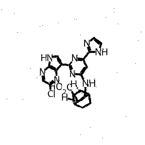 O=C(O)[C@H]1C2CCC(CC2)[C@@H]1Nc1cc(-c2ncc[nH]2)nc(-c2c[nH]c3ncc(Cl)nc23)n1